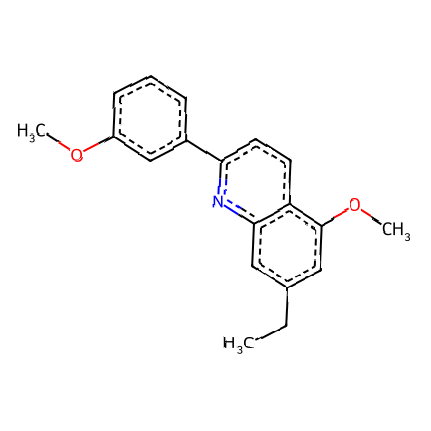 CCc1cc(OC)c2ccc(-c3cccc(OC)c3)nc2c1